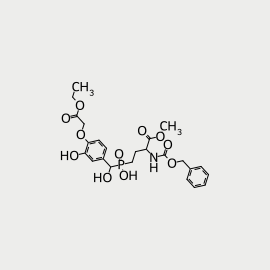 CCOC(=O)COc1ccc(C(O)P(=O)(O)CCC(NC(=O)OCc2ccccc2)C(=O)OC)cc1O